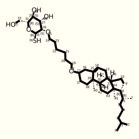 CC(C)CCC[C@@H](C)[C@H]1CC[C@H]2[C@@H]3CC=C4CC(OCCCCCCO[C@H]5[C@@H](O)[C@H](O)[C@@H](CO)O[C@@H]5S)CC[C@]4(C)[C@H]3CC[C@]12C